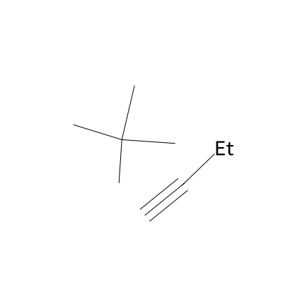 C#CCC.CC(C)(C)C